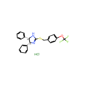 Cl.FC(F)(F)Oc1ccc(CSC2=N[C@H](c3ccccc3)[C@H](c3ccccc3)N2)cc1